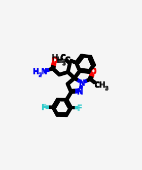 CCC(CC(N)=O)C1(c2ccccc2C)CC(c2cc(F)ccc2F)=NN1C(C)=O